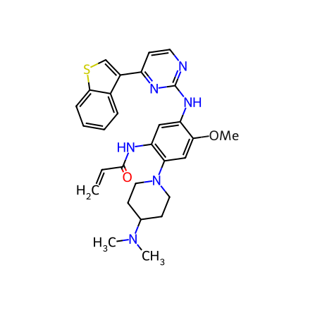 C=CC(=O)Nc1cc(Nc2nccc(-c3csc4ccccc34)n2)c(OC)cc1N1CCC(N(C)C)CC1